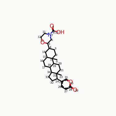 CC12CCC(C3CN(C(=O)O)CCO3)CC1CCC1C2CCC2(C)C(c3ccc(=O)oc3)CCC12